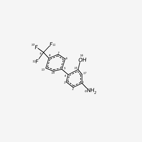 Nc1ccc(-c2ccc(C(F)(F)F)cc2)c(O)c1